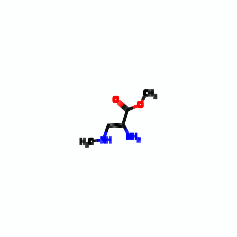 CN/C=C(\N)C(=O)OC